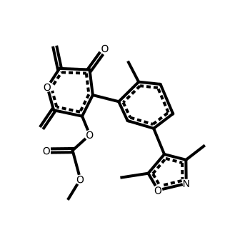 C=c1oc(=C)c(=O)c(-c2cc(-c3c(C)noc3C)ccc2C)c1OC(=O)OC